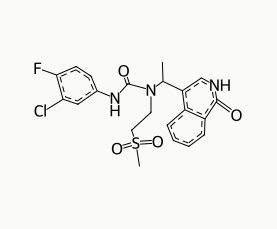 CC(c1c[nH]c(=O)c2ccccc12)N(CCS(C)(=O)=O)C(=O)Nc1ccc(F)c(Cl)c1